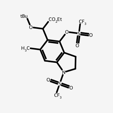 CCOC(=O)C(OC(C)(C)C)c1c(C)cc2c(c1OS(=O)(=O)C(F)(F)F)CCN2S(=O)(=O)C(F)(F)F